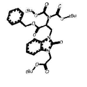 CC(C)(C)OC(=O)Cn1c(=O)n(CC(C(=O)OCc2ccccc2)N(C(=O)OC(C)(C)C)C(=O)OC(C)(C)C)c2ccccc21